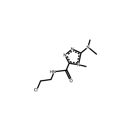 CN(C)c1nnc(C(=O)NCCCl)n1C